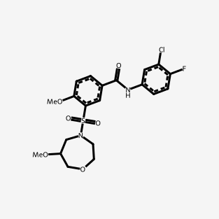 COc1ccc(C(=O)Nc2ccc(F)c(Cl)c2)cc1S(=O)(=O)N1CCOCC(OC)C1